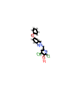 Oc1c(Cl)cc(Cn2cc3cc(Oc4ccccc4)ccc3n2)nc1Cl